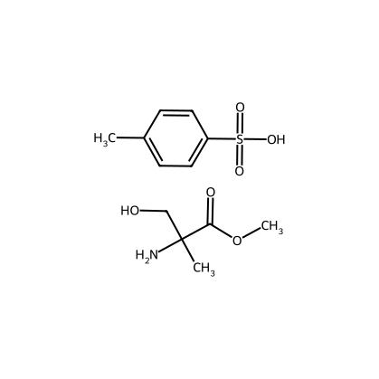 COC(=O)C(C)(N)CO.Cc1ccc(S(=O)(=O)O)cc1